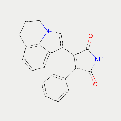 O=C1NC(=O)C(c2cn3c4c(cccc24)CCC3)=C1c1ccccc1